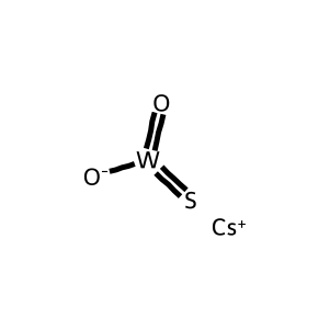 [Cs+].[O]=[W]([O-])=[S]